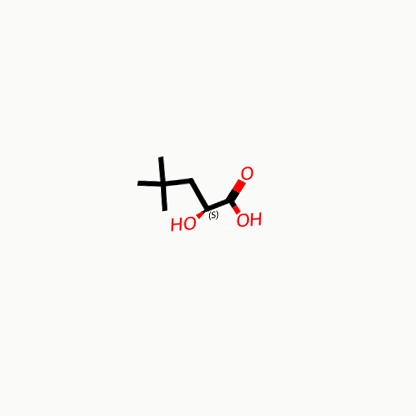 CC(C)(C)C[C@H](O)C(=O)O